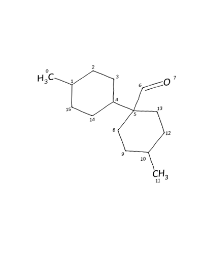 CC1CCC(C2(C=O)CCC(C)CC2)CC1